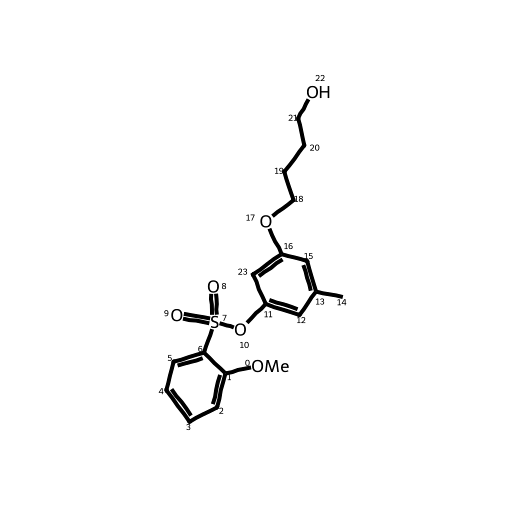 COc1ccccc1S(=O)(=O)Oc1cc(C)cc(OCCCCO)c1